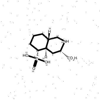 O=C(O)[C@@H]1C[C@@H]2[C@H](CCC[C@H]2P(=O)(O)O)CN1